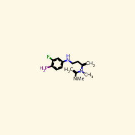 C=C(CCNc1ccc(P)c(F)c1)N(C)C(=C)NC